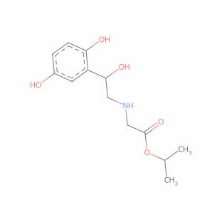 CC(C)OC(=O)CNCC(O)c1cc(O)ccc1O